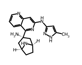 Cc1cc(Nc2cc3ncccc3c([C@@]3(N)C[C@H]4CC[C@@H](C3)N4)n2)n[nH]1